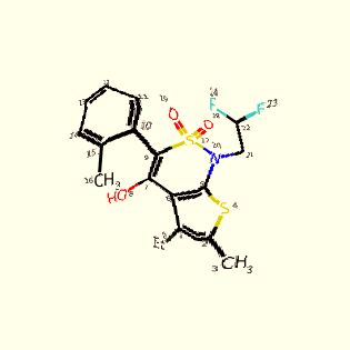 CCc1c(C)sc2c1C(O)=C(c1ccccc1C)S(=O)(=O)N2CC(F)F